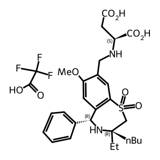 CCCC[C@]1(CC)CS(=O)(=O)c2cc(CN[C@@H](CC(=O)O)C(=O)O)c(OC)cc2[C@@H](c2ccccc2)N1.O=C(O)C(F)(F)F